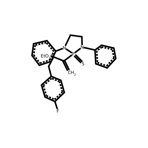 C=C(C(Cc1ccc(F)cc1)C(=O)OCC)P1(=S)N(c2ccccc2)CCN1c1ccccc1